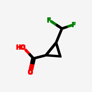 O=C(O)C1CC1C(F)F